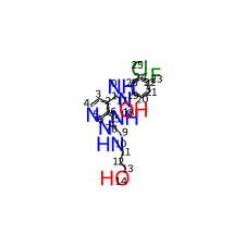 N=C(c1ccnc2nc(CNCCCO)[nH]c12)N(O)c1ccc(F)c(Cl)c1